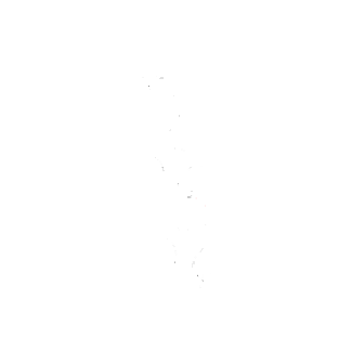 CCCCC[C@H]1CC[C@H](c2ccc(C(=O)Cc3ccc([N+](=O)[O-])cc3)cc2)CC1